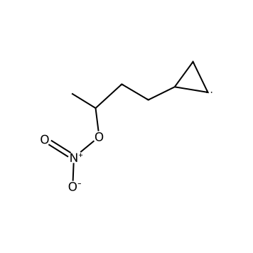 CC(CCC1[CH]C1)O[N+](=O)[O-]